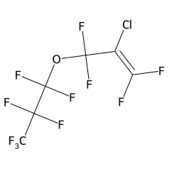 FC(F)=C(Cl)C(F)(F)OC(F)(F)C(F)(F)C(F)(F)F